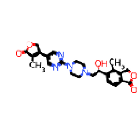 CC1=C(c2cnc(N3CCN(C[C@H](O)c4ccc5c(c4C)COC5=O)CC3)nc2)COC1=O